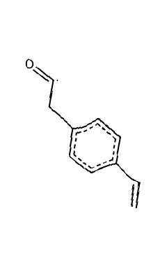 C=Cc1ccc(C[C]=O)cc1